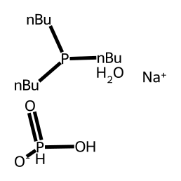 CCCCP(CCCC)CCCC.O.O=[PH]([O-])O.[Na+]